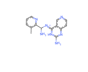 Cc1cccnc1C(N)/N=c1\[nH]c(N)nc2ccncc12